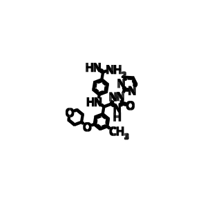 Cc1cc(OC2CCOCC2)cc(C(Nc2ccc(C(=N)N)cc2)c2nn(-c3ncccn3)c(=O)[nH]2)c1